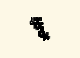 Cc1c(Oc2cccc(C(F)(F)F)c2)nnc(Cl)c1C(=O)O